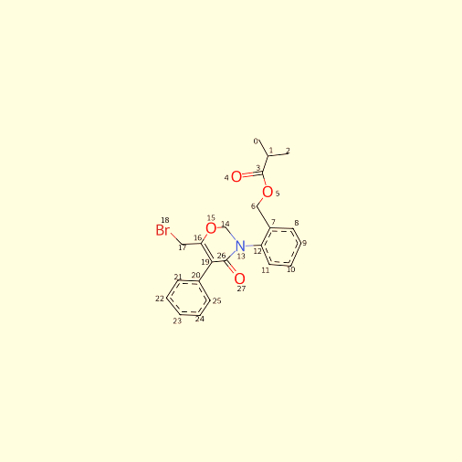 CC(C)C(=O)OCc1ccccc1N1COC(CBr)=C(c2ccccc2)C1=O